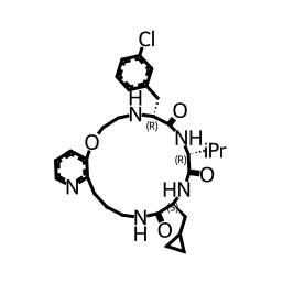 CC(C)[C@H]1NC(=O)[C@@H](Cc2cccc(Cl)c2)NCCOc2cccnc2CCCNC(=O)[C@H](CC2CC2)NC1=O